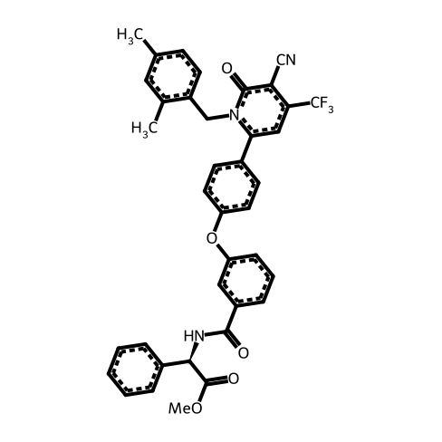 COC(=O)[C@H](NC(=O)c1cccc(Oc2ccc(-c3cc(C(F)(F)F)c(C#N)c(=O)n3Cc3ccc(C)cc3C)cc2)c1)c1ccccc1